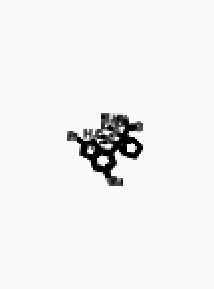 CCC1=Cc2cc(C(C)(C)C)cc(C34C5CCC(C5)C3(C([NH])=O)[Si](C)(C)[Si]4(C)C)c2C1